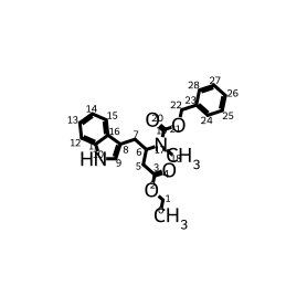 CCOC(=O)CC(Cc1c[nH]c2ccccc12)N(C)C(=O)OCc1ccccc1